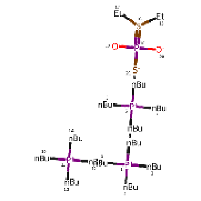 CCCC[P+](CCCC)(CCCC)CCCC.CCCC[P+](CCCC)(CCCC)CCCC.CCCC[P+](CCCC)(CCCC)CCCC.CCS(CC)=P([O-])([O-])[S-]